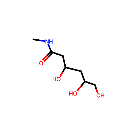 CNC(=O)CC(O)CC(O)CO